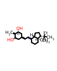 C=C1[C@H](O)CC(=C/C=C2\CCC[C@]3(C)[C@@H](C(C)(C)CC)CC[C@@H]23)C[C@H]1O